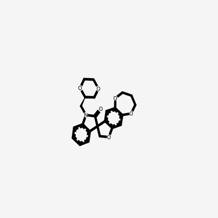 O=C1N(C[C@@H]2COCCO2)c2ccccc2C12COc1cc3c(cc12)OCCCO3